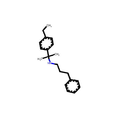 CCc1ccc(C(C)(C)NCCCc2ccccc2)cc1